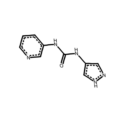 O=C(Nc1cccnc1)Nc1cn[nH]c1